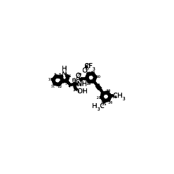 CCCC(CO)(Cc1c[nH]c2ccccc12)NC(=O)c1cc(C#Cc2cc(C)cc(C)c2)ccc1OC(F)(F)F